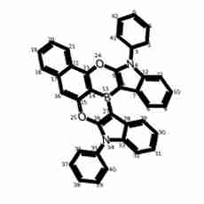 C1=CCC(n2c3c(c4ccccc42)B2c4c(cc5ccccc5c4O3)Oc3c2c2ccccc2n3-c2ccccc2)C=C1